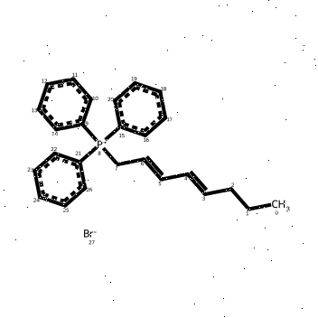 CCCC=CC=CC[P+](c1ccccc1)(c1ccccc1)c1ccccc1.[Br-]